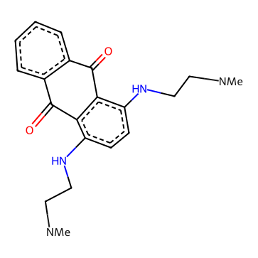 CNCCNc1ccc(NCCNC)c2c1C(=O)c1ccccc1C2=O